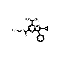 CCOC(=O)c1cc(C(C)C)n2nc(C3CC3)c(-c3ccccc3)c2n1